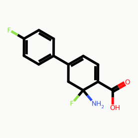 NC1(F)CC(c2ccc(F)cc2)=CC=C1C(=O)O